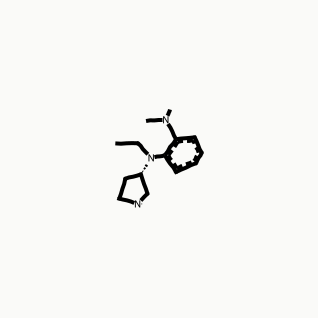 CCN(c1ccccc1N(C)C)[C@H]1CC[N]C1